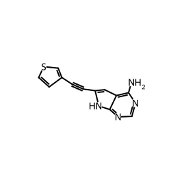 Nc1ncnc2[nH]c(C#Cc3ccsc3)cc12